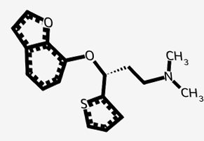 CN(C)CC[C@@H](Oc1cccc2ccoc12)c1cccs1